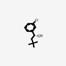 CC(C)(C)[CH][C@@H](O)c1cccc(Cl)c1